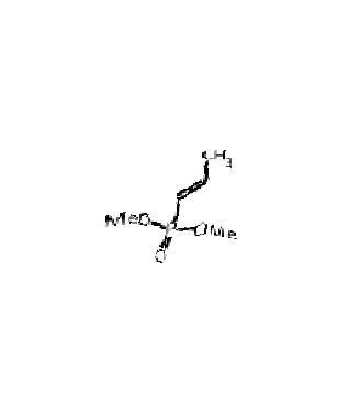 C/C=C/P(=O)(OC)OC